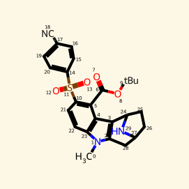 Cn1c2c(c3c(C(=O)OC(C)(C)C)c(S(=O)(=O)c4ccc(C#N)cc4)ccc31)C1CCC(C2)N1